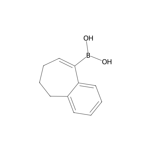 OB(O)C1=CCCCc2ccccc21